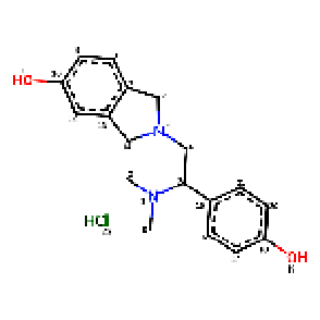 CN(C)C(CN1Cc2ccc(O)cc2C1)c1ccc(O)cc1.Cl